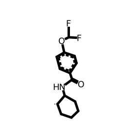 O=C(NC1[CH]CCCC1)c1ccc(OC(F)F)cc1